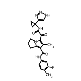 Cc1ccc(NC(=O)c2c(C)c(C(=O)C(=O)NC3(c4c[nH]nn4)CC3)n3c2CCC3)cc1F